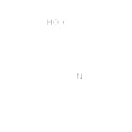 C=CN=CCC(=O)O